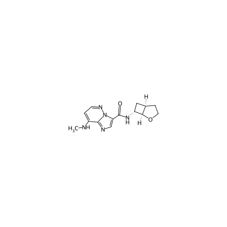 CNc1ccnn2c(C(=O)N[C@@H]3C[C@H]4CCO[C@H]43)cnc12